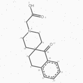 O=C(O)CN1CCC2(CCc3ccccc3C2=O)CC1